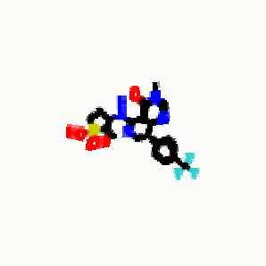 CC1C(Nc2ncc(-c3ccc(C(F)(F)F)cc3)c3ncn(C)c(=O)c23)CCS1(O)O